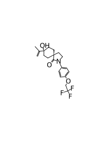 C=C(C)[C@]1(O)CC[C@]2(CCN(c3ccc(OCC(F)(F)F)cc3)C2=O)CC1